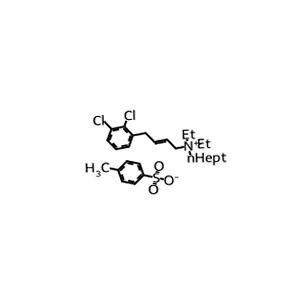 CCCCCCC[N+](CC)(CC)C/C=C/Cc1cccc(Cl)c1Cl.Cc1ccc(S(=O)(=O)[O-])cc1